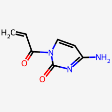 C=CC(=O)n1ccc(N)nc1=O